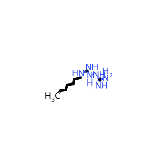 CCCCCCCNC(=N)NNC(=N)N